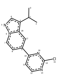 CC(C)c1cnn2ccc(-c3ccnc(Cl)n3)cc12